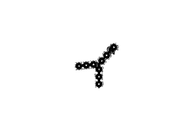 c1ccc(-c2ccc(-c3ccc4c(c3)c3cc(-c5ccc(-c6ccccc6)cc5)ccc3n4-c3ccc(-c4ccc(-c5nc6ccccc6o5)cc4)cc3)cc2)cc1